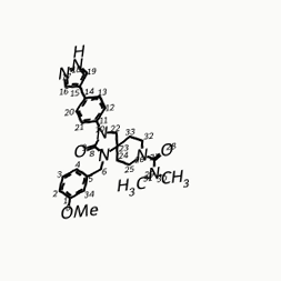 COc1cccc(CN2C(=O)N(c3ccc(-c4cn[nH]c4)cc3)CC23CCN(C(=O)N(C)C)CC3)c1